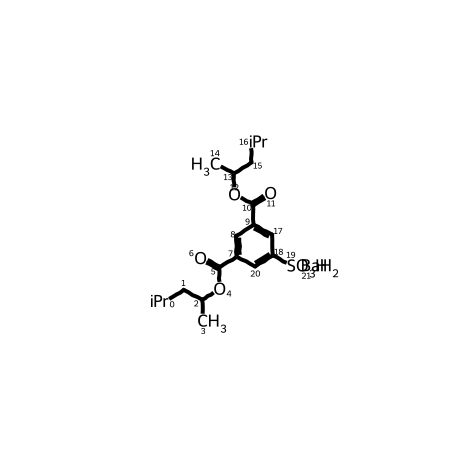 CC(C)CC(C)OC(=O)c1cc(C(=O)OC(C)CC(C)C)cc(S(=O)(=O)O)c1.[BaH2]